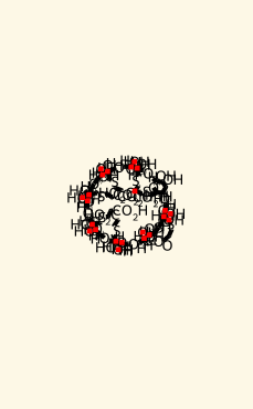 O=C(O)CCSC[C@H]1O[C@@H]2O[C@H]3[C@@H](O)[C@@H](O)[C@H]4O[C@H]5[C@H](O)[C@@H](O)[C@@H](O[C@H]6CC(O)(O)[C@@H](O[C@H]7[C@@H](O)[C@@H](O)[C@@H](O[C@H]8[C@@H](O)[C@@H](O)[C@@H](O[C@H]9[C@@H](O)[C@@H](O)[C@@H](O[C@H]%10[C@@H](O)[C@@H](O)[C@@H](O[C@H]1[C@@H](O)[C@H]2O)O[C@@H]%10CSCCC(=O)O)O[C@@H]9CSCCC(=O)O)O[C@@H]8CSCCC(=O)O)O[C@@H]7CSCCC(=O)O)O[C@@H]6CSCCC(=O)O)O[C@@H]5CSCCC(=O)OC[C@H]3O4